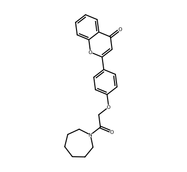 O=C(COc1ccc(-c2cc(=O)c3ccccc3o2)cc1)N1CCCCCC1